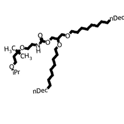 CCCCCCCCCCCCCCCCCCOCC(COC(=O)NCCOC(C)(C)CCOC(C)C)OCCCCCCCCCCCCCCCCCC